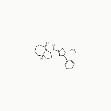 C[C@H]1CN(C(=O)[C@@H]2CC[C@@H]3CCCCC(=O)N32)C[C@@H]1c1ccccc1